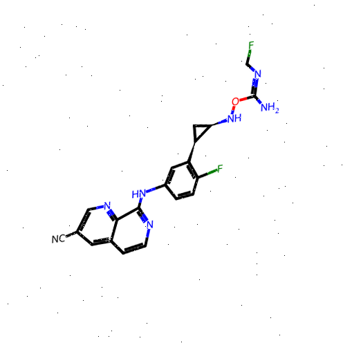 N#Cc1cnc2c(Nc3ccc(F)c([C@H]4C[C@H]4NO/C(N)=N\CF)c3)nccc2c1